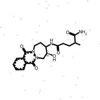 CC(C[CH]C(=O)NC1CCn2c(=O)c3ccccc3c(=O)n2C[C@@H]1O)C(N)=O